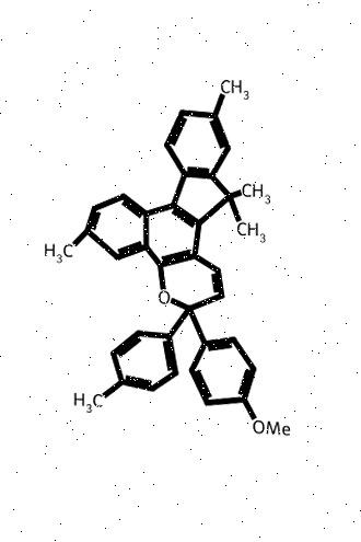 COc1ccc(C2(c3ccc(C)cc3)C=Cc3c4c(c5ccc(C)cc5c3O2)-c2ccc(C)cc2C4(C)C)cc1